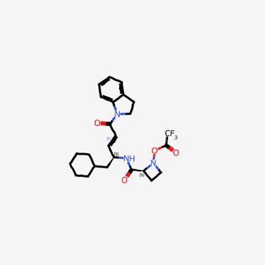 O=C(N[C@H](/C=C/C(=O)N1CCc2ccccc21)CC1CCCCC1)[C@@H]1CCN1OC(=O)C(F)(F)F